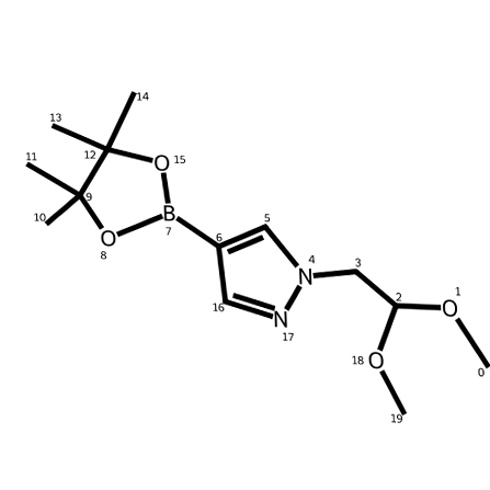 COC(Cn1cc(B2OC(C)(C)C(C)(C)O2)cn1)OC